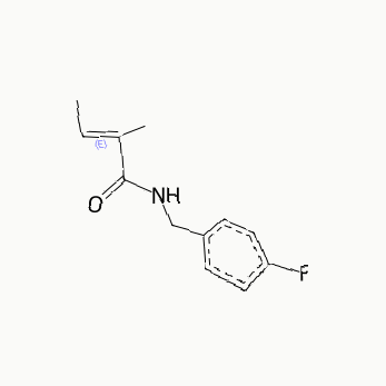 C/C=C(\C)C(=O)NCc1ccc(F)cc1